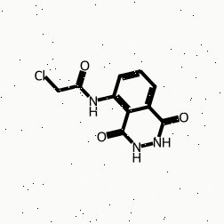 O=C(CCl)Nc1cccc2c(=O)[nH][nH]c(=O)c12